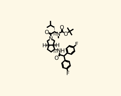 CC(C)C[C@@H](C(=O)N1C[C@H]2CC[C@H](NC(=O)C(c3ccc(F)cc3)c3ccc(F)cc3)[C@H]2C1)N(C)C(=O)OC(C)(C)C